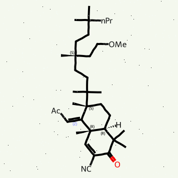 CCCC(C)(C)CC[C@](C)(CCOC)CCC(C)(C)[C@]1(C)CC[C@H]2C(C)(C)C(=O)C(C#N)=C[C@]2(C)/C1=C/C(C)=O